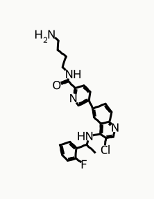 CC(Nc1c(Cl)cnc2ccc(-c3ccc(C(=O)NCCCCN)nc3)cc12)c1ccccc1F